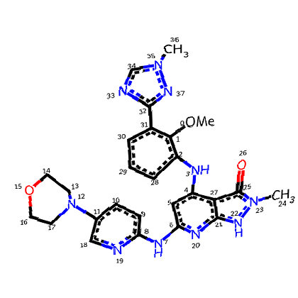 COc1c(Nc2cc(Nc3ccc(N4CCOCC4)cn3)nc3[nH]n(C)c(=O)c23)cccc1-c1ncn(C)n1